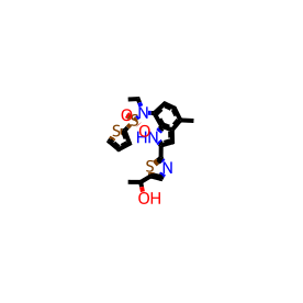 CCN(c1ccc(C)c2cc(-c3ncc(C(C)O)s3)[nH]c12)S(=O)(=O)c1cccs1